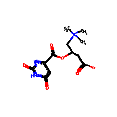 C[N+](C)(C)CC(CC(=O)[O-])OC(=O)c1cc(=O)[nH]c(=O)[nH]1